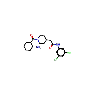 N[C@@H]1CCCC[C@H]1C(=O)N1CCC(CC(=O)Nc2cc(Cl)cc(Cl)c2)CC1